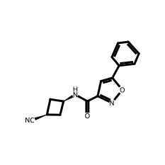 N#C[C@H]1C[C@@H](NC(=O)c2cc(-c3ccccc3)on2)C1